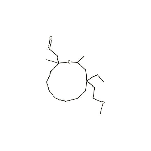 CCC1(CCOC)CCCCCCCC(C)(CN=O)CC(C)C1